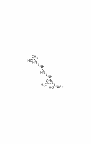 CNC(O)CN(CCNCCNCCNCCNCC(C)O)CC(C)O